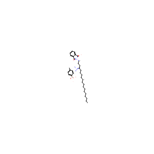 CCCCCCCCCCCCCCCC(CCCN1C(=O)c2ccccc2C1=O)N(C)C.Cc1ccc(S(=O)(=O)O)cc1